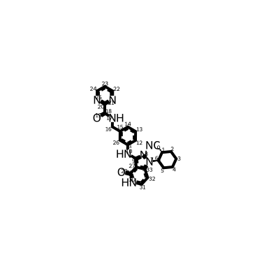 N#C[C@@H]1CCCC[C@H]1n1nc(Nc2cccc(CNC(=O)c3ncccn3)c2)c2c(=O)[nH]ccc21